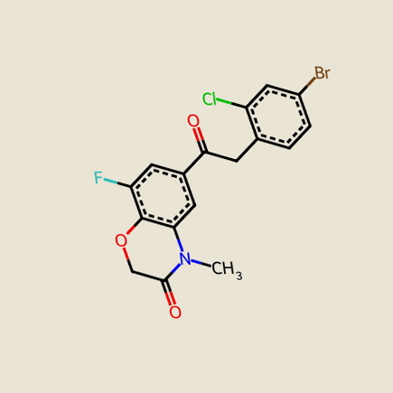 CN1C(=O)COc2c(F)cc(C(=O)Cc3ccc(Br)cc3Cl)cc21